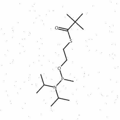 CC(C)N(C(C)C)P(C)OCCSC(=O)C(C)(C)C